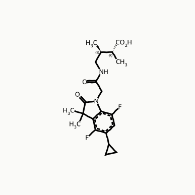 C[C@H](CNC(=O)CN1C(=O)C(C)(C)c2c(F)c(C3CC3)cc(F)c21)[C@@H](C)C(=O)O